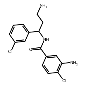 NCCC(NC(=O)c1ccc(Cl)c(N)c1)c1cccc(Cl)c1